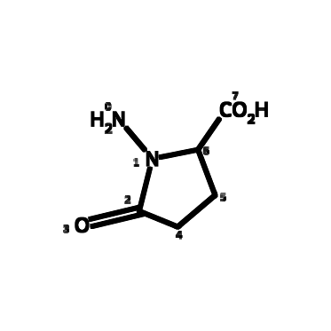 NN1C(=O)CCC1C(=O)O